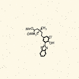 COC(C[N+](C)(C)CCc1ccc(O)c(-n2nc3ccccc3n2)c1)OC.[Cl-]